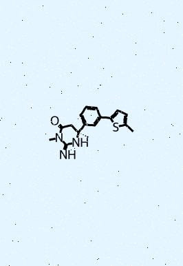 Cc1ccc(-c2cccc([C@]3(C)CC(=O)N(C)C(=N)N3)c2)s1